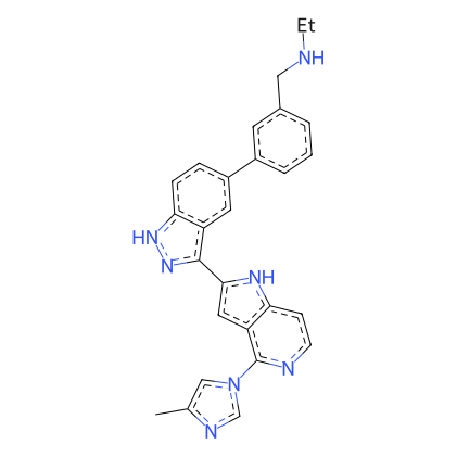 CCNCc1cccc(-c2ccc3[nH]nc(-c4cc5c(-n6cnc(C)c6)nccc5[nH]4)c3c2)c1